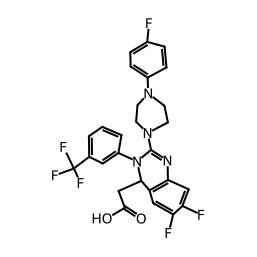 O=C(O)CC1c2cc(F)c(F)cc2N=C(N2CCN(c3ccc(F)cc3)CC2)N1c1cccc(C(F)(F)F)c1